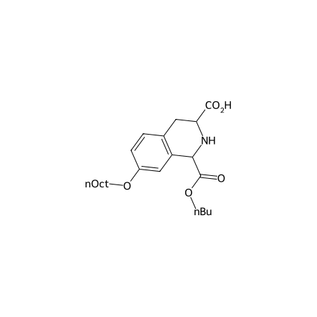 CCCCCCCCOc1ccc2c(c1)C(C(=O)OCCCC)NC(C(=O)O)C2